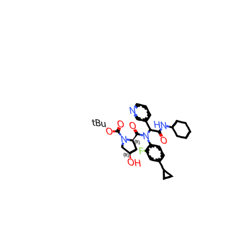 CC(C)(C)OC(=O)N1C[C@H](O)C[C@@H]1C(=O)N(c1ccc(C2CC2)cc1F)C(C(=O)NC1CCCCC1)c1cccnc1